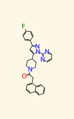 O=C(Cc1cccc2ccccc12)N1CCC(c2cc(-c3ccc(F)cc3)nn2-c2ncccn2)CC1